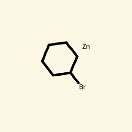 BrC1CCCCC1.[Zn]